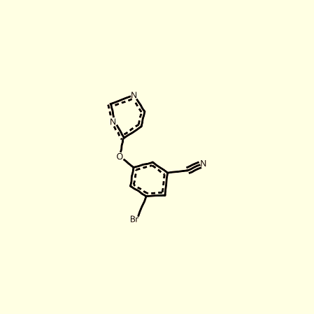 N#Cc1cc(Br)cc(Oc2ccncn2)c1